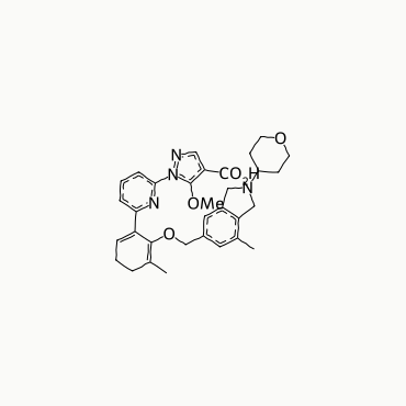 COc1c(C(=O)O)cnn1-c1cccc(C2=CCCC(C)=C2OCc2cc(C)c3c(c2)CN(C2CCOCC2)C3)n1